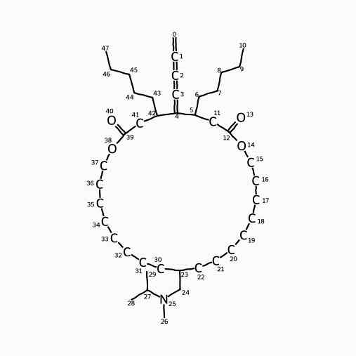 C=C=C=C=C1C(CCCCC)CC(=O)OCCCCCCCCC(CN(C)C(C)C)CCCCCCCCOC(=O)CC1CCCCC